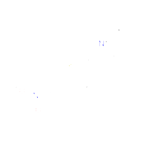 C/C(=C\c1ccc(CN2CCCC2)s1)[N+](=O)[O-]